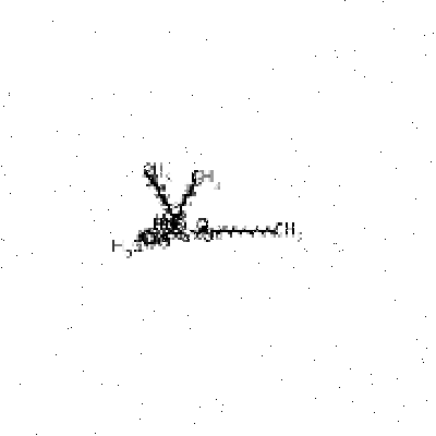 CCCCCCCCCCCCCOC(=O)CCSCCC(NC(=O)C(CCCCCCCC)CCCCCCCCCC)C(=O)NC1CCN(C)CC1